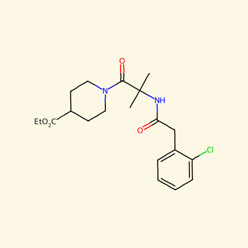 CCOC(=O)C1CCN(C(=O)C(C)(C)NC(=O)Cc2ccccc2Cl)CC1